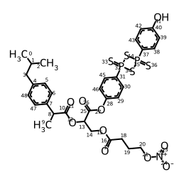 CC(C)Cc1ccc(C(C)C(=O)OC(COC(=O)CCCO[N+](=O)[O-])C(=O)Oc2ccc(P3(=S)SP(=S)(c4ccc(O)cc4)S3)cc2)cc1